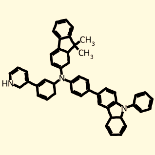 CC1(C)c2ccccc2C2=CC=C(N(c3ccc(-c4ccc5c(c4)C4C=CC=CC4N5c4ccccc4)cc3)C3C=C(C4=CC=CNC4)C=CC3)CC21